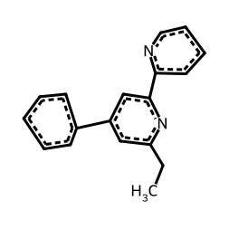 CCc1cc(-c2ccccc2)cc(-c2ccccn2)n1